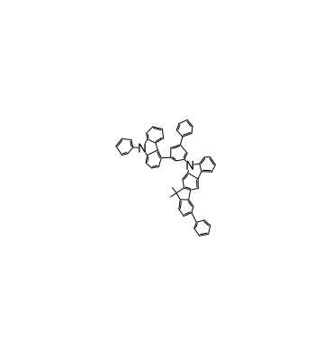 CC1(C)c2ccc(-c3ccccc3)cc2-c2cc3c4ccccc4n(-c4cc(-c5ccccc5)cc(-c5cccc6c5c5ccccc5n6-c5ccccc5)c4)c3cc21